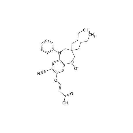 CCCCC1(CCCC)CN(c2ccccc2)c2cc(C#N)c(O/C=C/C(=O)O)cc2[S+]([O-])C1